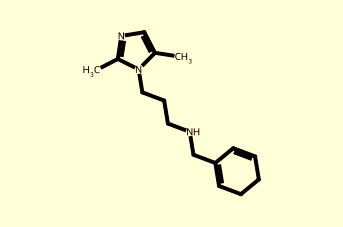 Cc1cnc(C)n1CCCNCC1=CCCC=C1